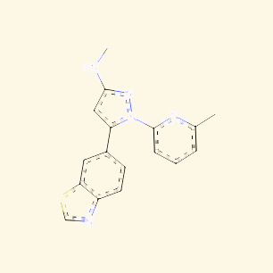 CNc1cc(-c2ccc3ncsc3c2)n(-c2cccc(C)n2)n1